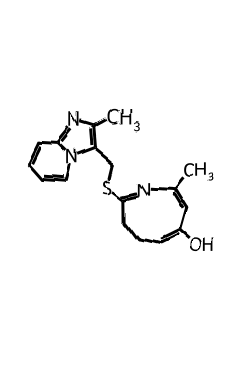 CC1=C/C(O)=C\CC/C(SCc2c(C)nc3ccccn23)=N\1